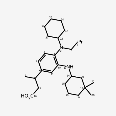 CC(C)CN(c1ccc(C(C)CC(=O)O)cc1NC1CCCC(C)(C)C1)C1CCCCC1